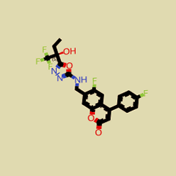 CC[C@](O)(c1nnc(NCc2cc3oc(=O)cc(-c4ccc(F)cc4)c3cc2F)o1)C(F)(F)F